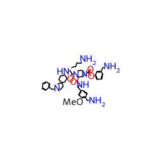 COc1cc(CNC(=O)[C@@H]2CN(C(=O)Oc3cccc(CN)c3)CCN2C(=O)[C@@H](CCCCN)NC2CCC3(CC2)CCN(Cc2ccccc2)C3)ccc1CN